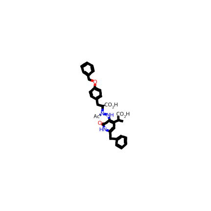 CC(=O)N(Nc1c(C(C)C(=O)O)cc(Cc2ccccc2)[nH]c1=O)[C@@H](Cc1ccc(OCc2ccccc2)cc1)C(=O)O